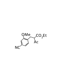 CCOC(=O)C(Cc1ccc(C#N)cc1OC)C(C)=O